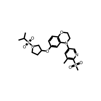 Cc1cc(N2CCOc3ccc(OC4CCN(S(=O)(=O)C(C)C)C4)cc32)cnc1S(C)(=O)=O